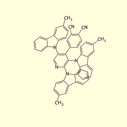 Cc1ccc2c(c1)c1ccccc1n2-c1cnc(-n2c3ccccc3c3cc(C)ccc32)c(-n2c3ccccc3c3cc(C)ccc32)c1-c1ccc(C#N)c(C#N)c1